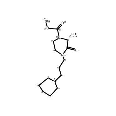 C[C@@H]1C(=O)N(CCCN2CCCCC2)CCN1C(=O)OC(C)(C)C